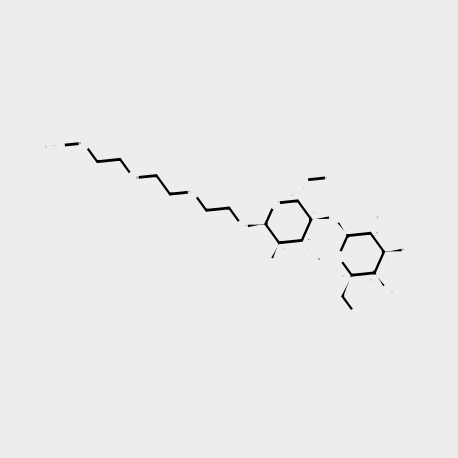 CCCCCCCCCCOCCOCCOCCO[C@H]1O[C@H](CO)[C@@H](O[C@@H]2O[C@H](CO)[C@H](O)[C@H](O)[C@H]2O)[C@H](O)[C@H]1O